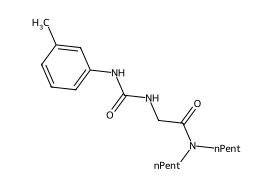 CCCCCN(CCCCC)C(=O)CNC(=O)Nc1cccc(C)c1